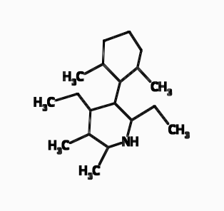 CCC1NC(C)C(C)C(CC)C1C1C(C)CCCC1C